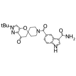 CC(C)(C)n1cc2c(n1)C(=O)CC1(CCN(C(=O)c3ccc4[nH]cc(C(N)=O)c4c3)CC1)O2